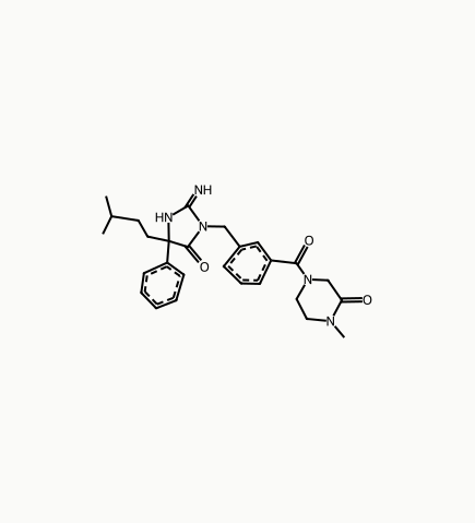 CC(C)CCC1(c2ccccc2)NC(=N)N(Cc2cccc(C(=O)N3CCN(C)C(=O)C3)c2)C1=O